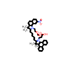 CC1(C)C(/C=C/C=C/C=C2\N(CCOC=O)c3c(ccc4ccc([N+](=O)[O-])cc34)C2(C)C)=[N+](CCC(=O)O)c2c1c1ccccc1c1ccccc21